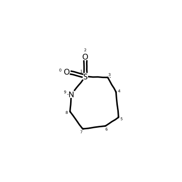 O=S1(=O)[CH]CCCCC[N]1